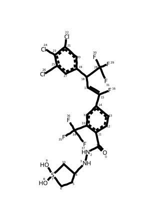 O=C(NNC1CCS(O)(O)C1)c1ccc(/C(F)=C/C(c2cc(Cl)c(Cl)c(Cl)c2)C(F)(F)F)cc1C(F)(F)F